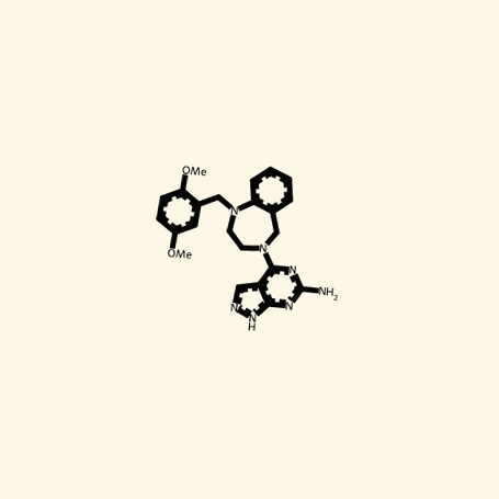 COc1ccc(OC)c(CN2CCN(c3nc(N)nc4[nH]ncc34)Cc3ccccc32)c1